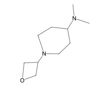 CN(C)C1CCN(C2COC2)CC1